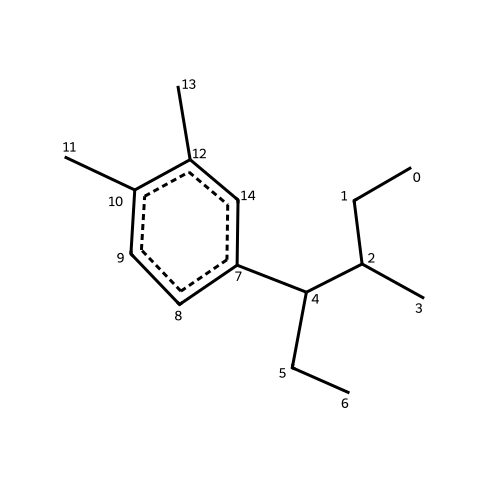 CCC(C)C(CC)c1ccc(C)c(C)c1